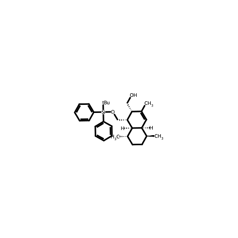 CC1=C[C@@H]2[C@H]([C@H](CO[Si](c3ccccc3)(c3ccccc3)C(C)(C)C)[C@@H]1CO)[C@@H](C)CC[C@@H]2C